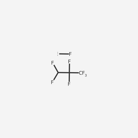 FC(F)C(F)(F)C(F)(F)F.[C]F